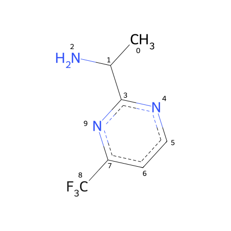 CC(N)c1nccc(C(F)(F)F)n1